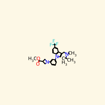 COC(=O)C1CN(c2cccc(-n3cc(CN(C)C(C)C)c4cc(C(F)(F)F)ccc43)c2)C1